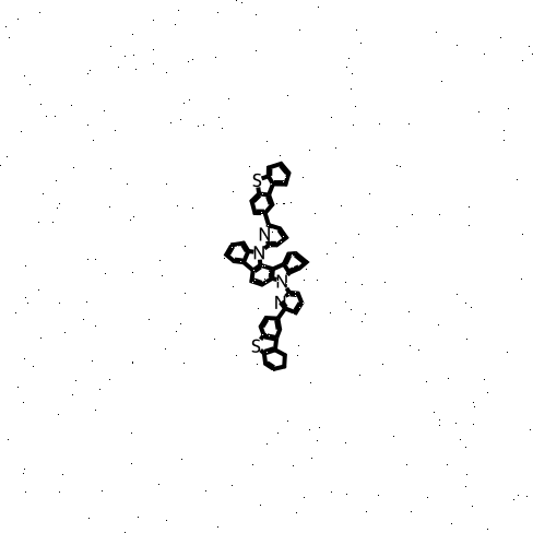 C1=Cc2sc3ccc(-c4cccc(-n5c6ccccc6c6c5ccc5c7ccccc7n(-c7cccc(-c8ccc9sc%10ccccc%10c9c8)n7)c56)n4)cc3c2CC1